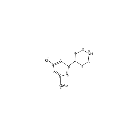 COc1cc(Cl)cc(C2CCNCC2)c1